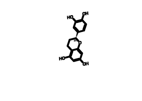 Oc1cc(O)c2c(c1)O[C@@H](c1ccc(O)c(O)c1)CC2